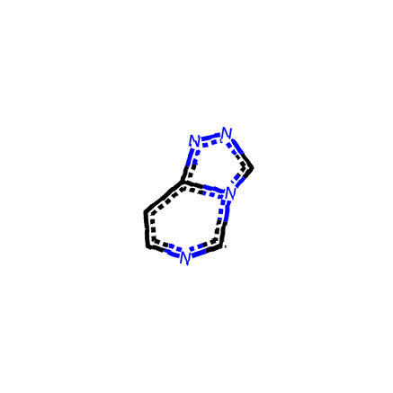 [c]1nccc2nncn12